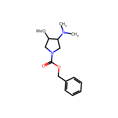 COC1CN(C(=O)OCc2ccccc2)CC1N(C)C